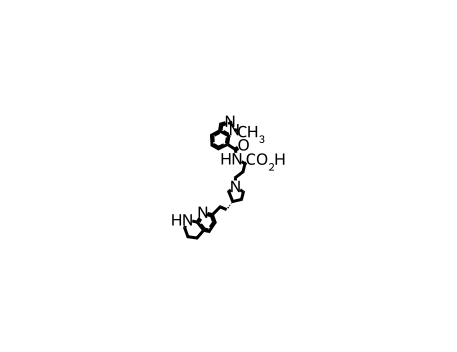 Cn1ncc2cccc(C(=O)NC(CCN3CC[C@H](CCc4ccc5c(n4)NCCC5)C3)C(=O)O)c21